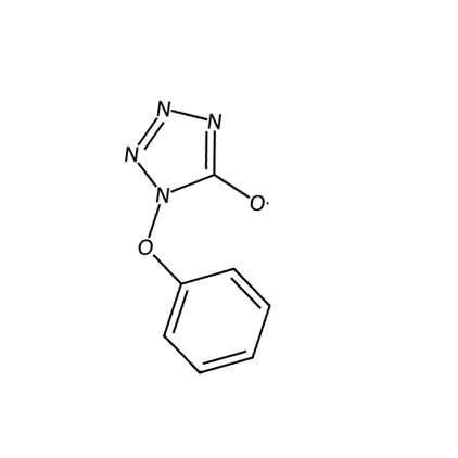 [O]c1nnnn1Oc1ccccc1